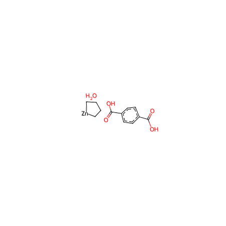 C1C[CH2][Zn][CH2]1.O.O=C(O)c1ccc(C(=O)O)cc1